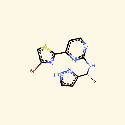 C[C@@H](Nc1nccc(-c2nc(Br)cs2)n1)c1cc[nH]n1